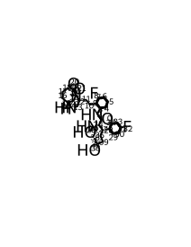 O=C(Nc1cccc(F)c1CC[C@H]1CN[C@@H]2CCCS(=O)(=O)N1C2)[C@@H](NO)[C@@H](c1ccc(F)cc1)[C@H]1C[C@@H](O)C1